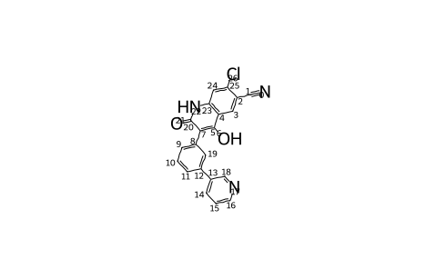 N#Cc1cc2c(O)c(-c3cccc(-c4cccnc4)c3)c(=O)[nH]c2cc1Cl